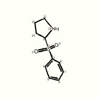 O=S(=O)(c1ccccc1)C1CCCN1